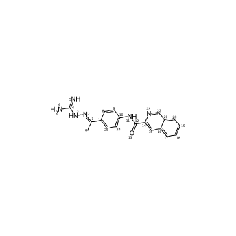 C/C(=N\NC(=N)N)c1ccc(NC(=O)c2cc3ccccc3cn2)cc1